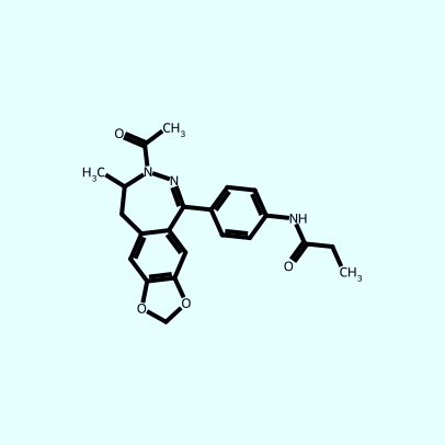 CCC(=O)Nc1ccc(C2=NN(C(C)=O)C(C)Cc3cc4c(cc32)OCO4)cc1